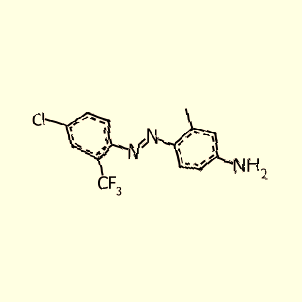 Cc1cc(N)ccc1/N=N/c1ccc(Cl)cc1C(F)(F)F